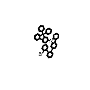 Brc1ccccc1-c1ccccc1-c1ccc2c3ccccc3n(-c3ccc4c(c3)C(c3ccccc3)(c3ccccc3)c3ccccc3-4)c2c1